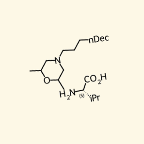 CC(C)[C@H](N)C(=O)O.CCCCCCCCCCCCCN1CC(C)OC(C)C1